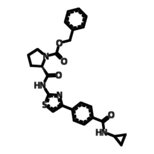 O=C(NC1CC1)c1ccc(-c2csc(NC(=O)[C@H]3CCCN3C(=O)OCc3ccccc3)n2)cc1